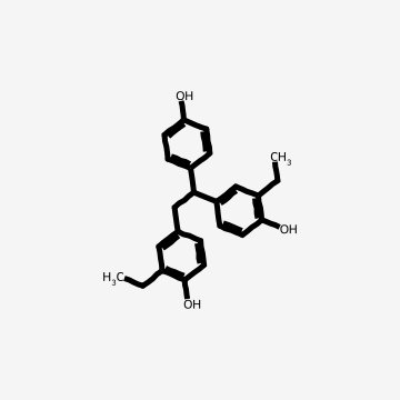 CCc1cc(CC(c2ccc(O)cc2)c2ccc(O)c(CC)c2)ccc1O